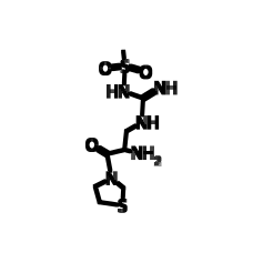 CS(=O)(=O)NC(=N)NCC(N)C(=O)N1CCSC1